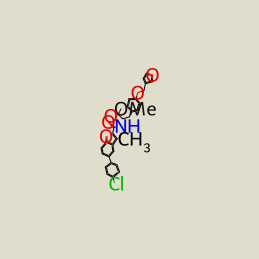 COC(=O)C(Cc1ccc(OCc2ccoc2)cc1)NC(=O)c1oc2ccc(-c3ccc(Cl)cc3)cc2c1C